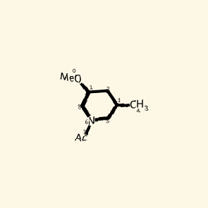 COC1CC(C)CN(C(C)=O)C1